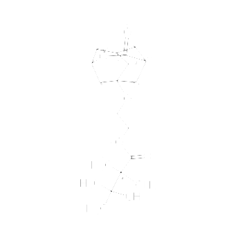 CC(C)(C)C(C)(C)C(=O)OCCOC12CC3CC(C1)OC(=O)C(C3)C2